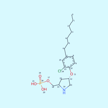 CCCCCCCc1ccc(O[C@@H]2CNC(COP(=O)(O)O)C2)c(Cl)c1